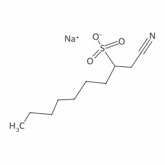 CCCCCCCC(CC#N)S(=O)(=O)[O-].[Na+]